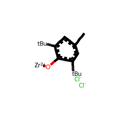 Cc1cc(C(C)(C)C)c([O][Zr+2])c(C(C)(C)C)c1.[Cl-].[Cl-]